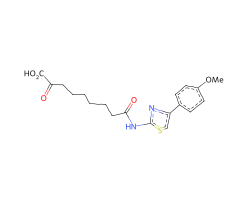 COc1ccc(-c2csc(NC(=O)CCCCCCC(=O)C(=O)O)n2)cc1